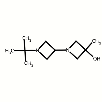 CC1(O)CN(C2CN(C(C)(C)C)C2)C1